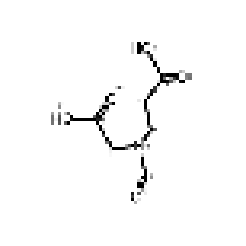 O=CN(CCC(=O)O)CC(=O)O